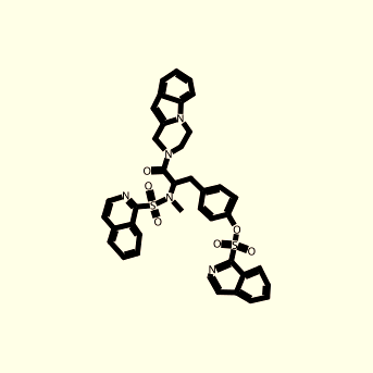 CN(C(Cc1ccc(OS(=O)(=O)c2nccc3ccccc23)cc1)C(=O)N1CCn2c(cc3ccccc32)C1)S(=O)(=O)c1nccc2ccccc12